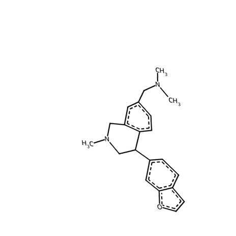 CN(C)Cc1ccc2c(c1)CN(C)CC2c1ccc2ccoc2c1